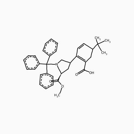 COC(=O)[C@@H]1CC(C2=C(C(=O)O)CC(C(C)(C)C)C=C2)CN1C(c1ccccc1)(c1ccccc1)c1ccccc1